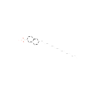 CCCCCCCCCCCCCCc1ccc2cc(S(=O)(=O)O)ccc2c1